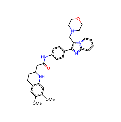 COc1cc2c(cc1OC)NC(CC(=O)Nc1ccc(-c3nc4ccccn4c3CN3CCOCC3)cc1)CC2